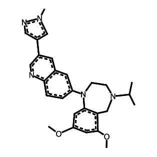 COc1cc(OC)c2c(c1)N(c1ccc3ncc(-c4cnn(C)c4)cc3c1)CCN(C(C)C)C2